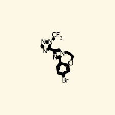 FC(F)(F)Cn1ncnc1-c1cn2c(n1)-c1ccc(Br)cc1OCC2